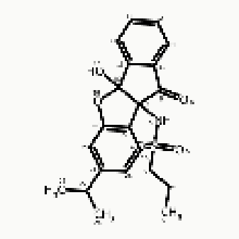 CCCS(=O)(=O)NC12C(=O)c3ccccc3C1(O)Oc1cc(C(C)C)ccc12